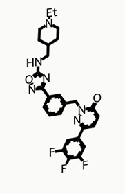 CCN1CCC(CNc2nc(-c3cccc(Cn4nc(-c5cc(F)c(F)c(F)c5)ccc4=O)c3)no2)CC1